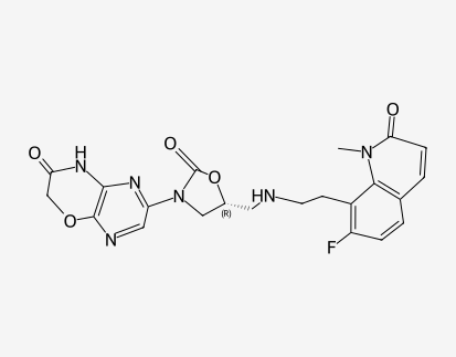 Cn1c(=O)ccc2ccc(F)c(CCNC[C@@H]3CN(c4cnc5c(n4)NC(=O)CO5)C(=O)O3)c21